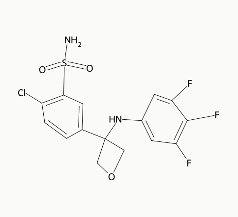 NS(=O)(=O)c1cc(C2(Nc3cc(F)c(F)c(F)c3)COC2)ccc1Cl